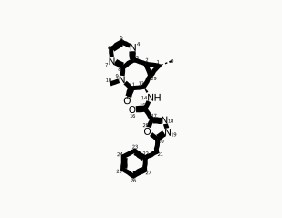 C[C@H]1C2c3nccnc3N(C)C(=O)[C@@H](NC(=O)c3nnc(Cc4ccccc4)o3)C21